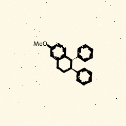 COc1ccc2c(c1)CC[C@H](c1ccccc1)[C@H]2c1ccccc1